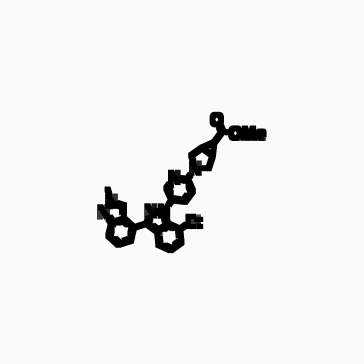 CCc1cccc2c(-c3cccc4nn(C)cc34)nn(-c3ccc(N4CC5C(C4)C5C(=O)OC)nc3)c12